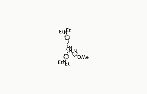 CCN(CC)c1ccc(C=CC2=NN(c3ccc(OC)cn3)C(c3ccc(N(CC)CC)cc3)C2)cc1